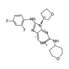 C=C(/N=C1\C(=C/N)N=C(Nc2ccc(F)cc2F)N1[C@H]1CCOC1)NC1CCOCC1